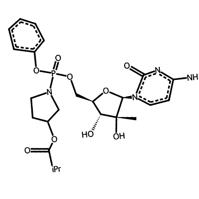 CC(C)C(=O)OC1CCN(P(=O)(OC[C@H]2O[C@@H](n3ccc(N)nc3=O)[C@](C)(O)[C@@H]2O)Oc2ccccc2)C1